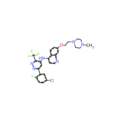 CN1CCN(CCOc2ccc3c(Nc4cc(-c5cc(Cl)ccc5F)nnc4C(F)(F)F)ccnc3c2)CC1